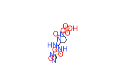 N=C(NS(=O)(=O)c1cnon1)C1CCC2CN1C(=O)N2OS(=O)(=O)O